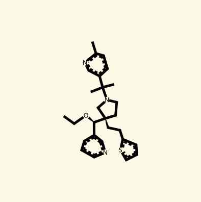 CCO[C@H](c1cccnc1)[C@@]1(CCc2cccs2)CCN(C(C)(C)c2ccc(C)nc2)C1